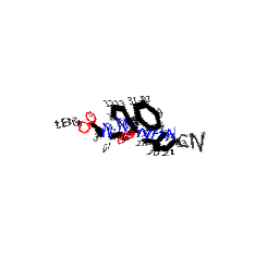 C[C@H](N=CC(=O)OC(C)(C)C)C(=O)N1CCC[C@]1(C(=O)NCc1ccc(C#N)nc1)C1CCCCC1